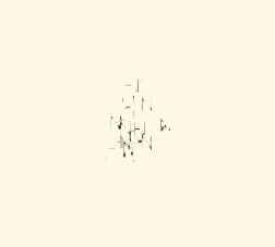 N#CCCN(C(=O)Cn1nc(Cc2nc3cc(OCC(F)F)c(C#N)cc3[nH]2)c2ccccc2c1=O)C1CC1